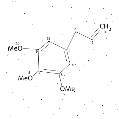 C=CCc1cc(OC)c(OC)c(OC)c1